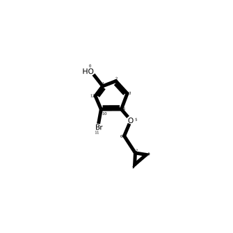 Oc1ccc(OCC2CC2)c(Br)c1